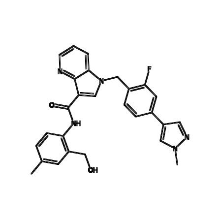 Cc1ccc(NC(=O)c2cn(Cc3ccc(-c4cnn(C)c4)cc3F)c3cccnc23)c(CO)c1